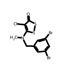 CN(Cc1cc(Br)cc(Br)c1)c1ssc(=O)c1Cl